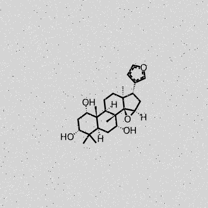 CC1(C)[C@H](O)C[C@H](O)[C@]2(C)[C@H]3CC[C@@]4(C)[C@H](c5ccoc5)C[C@H]5O[C@]54[C@]3(C)[C@H](O)C[C@@H]12